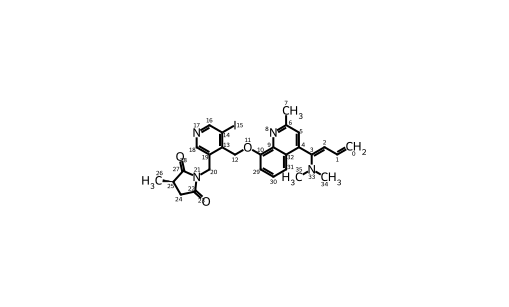 C=C/C=C(/c1cc(C)nc2c(OCc3c(I)cncc3CN3C(=O)C[C@@H](C)C3=O)cccc12)N(C)C